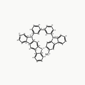 N#Cc1ccc2c(c1)c1ccccc1n2-c1cccc(-c2cccc(-n3c4cnccc4c4cc5c(cc43)sc3ccccc35)c2)c1